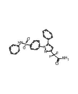 NC(=O)C(F)(F)c1cc(-c2ccccc2)n(-c2ccc(S(=O)(=O)Nc3ccccc3)cc2)n1